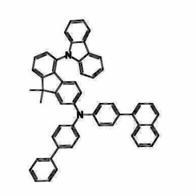 CC1(C)c2cc(N(c3ccc(-c4ccccc4)cc3)c3ccc(-c4cccc5ccccc45)cc3)ccc2-c2c(-n3c4ccccc4c4ccccc43)cccc21